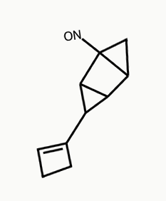 O=NC12CC1C1C(C3=CCC3)C12